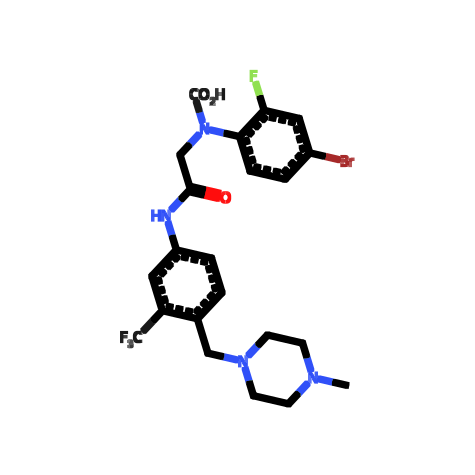 CN1CCN(Cc2ccc(NC(=O)CN(C(=O)O)c3ccc(Br)cc3F)cc2C(F)(F)F)CC1